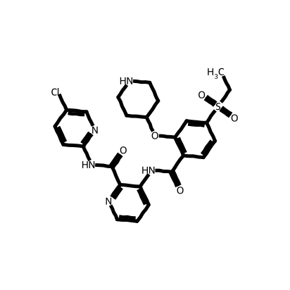 CCS(=O)(=O)c1ccc(C(=O)Nc2cccnc2C(=O)Nc2ccc(Cl)cn2)c(OC2CCNCC2)c1